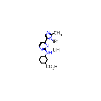 Cc1ncc(-c2ccnc(NC3CCCC(C(=O)O)C3)n2)n1C(C)C.[LiH]